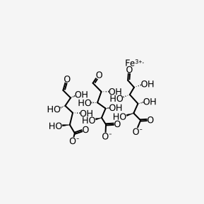 O=C[C@H](O)[C@@H](O)[C@H](O)[C@H](O)C(=O)[O-].O=C[C@H](O)[C@@H](O)[C@H](O)[C@H](O)C(=O)[O-].O=C[C@H](O)[C@@H](O)[C@H](O)[C@H](O)C(=O)[O-].[Fe+3]